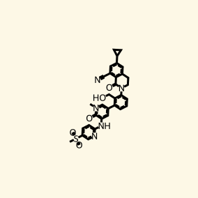 Cn1cc(-c2cccc(N3CCc4cc(C5CC5)cc(C#N)c4C3=O)c2CO)cc(Nc2ccc(S(C)(=O)=O)cn2)c1=O